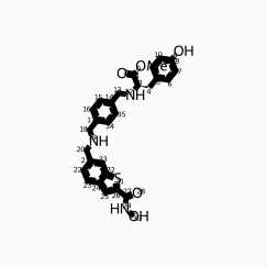 COC(=O)[C@H](Cc1ccc(O)cc1)NCc1ccc(CNCc2ccc3cc(C(=O)NO)sc3c2)cc1